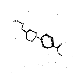 COC(=O)c1ccc(N2CCC(CON)CC2)cc1